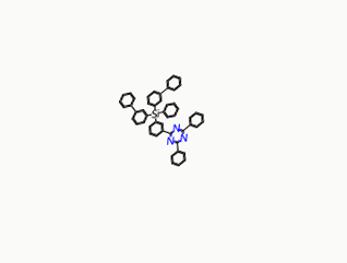 c1ccc(-c2cccc([Si](c3ccccc3)(c3cccc(-c4ccccc4)c3)c3cccc(-c4nc(-c5ccccc5)nc(-c5ccccc5)n4)c3)c2)cc1